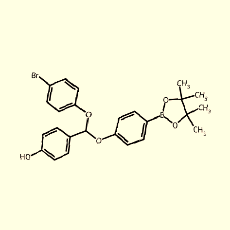 CC1(C)OB(c2ccc(OC(Oc3ccc(Br)cc3)c3ccc(O)cc3)cc2)OC1(C)C